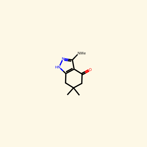 CNc1n[nH]c2c1C(=O)CC(C)(C)C2